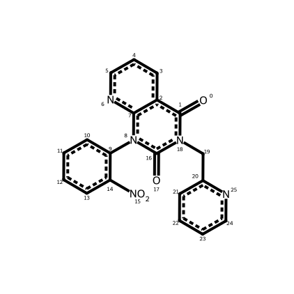 O=c1c2cccnc2n(-c2ccccc2[N+](=O)[O-])c(=O)n1Cc1ccccn1